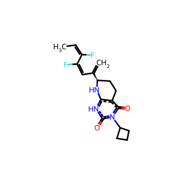 C=C(/C=C(F)\C(F)=C/C)[C@H]1CCc2c([nH]c(=O)n(C3CCC3)c2=O)N1